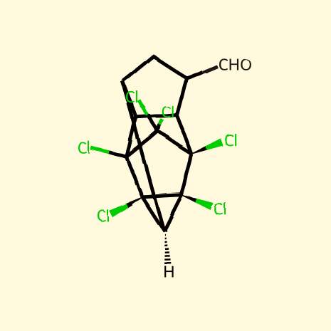 O=CC1CC2C3C1[C@@]1(Cl)C(Cl)(Cl)C3(Cl)[C@@]3(Cl)[C@@H]2[C@@]13Cl